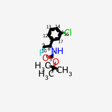 CC(C)(C)OC(=O)NC(CF)c1cccc(Cl)c1